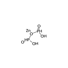 O=[PH](O)O[PH](=O)O.[Zn]